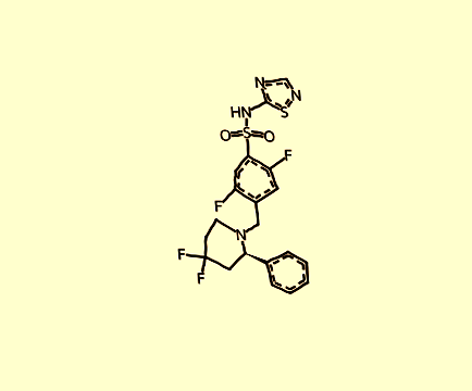 O=S(=O)(Nc1ncns1)c1cc(F)c(CN2CCC(F)(F)C[C@@H]2c2ccccc2)cc1F